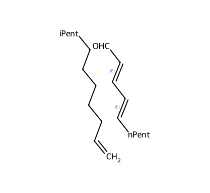 C=CCCCCCC(C)CCC.CCCCC/C=C/C=C/C=O